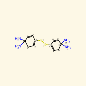 NC1(N)C=CC(SSC2=CCC(N)(N)C=C2)=CC1